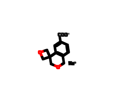 O=C([O-])c1ccc2c(c1)C1(COC2)COC1.[Na+]